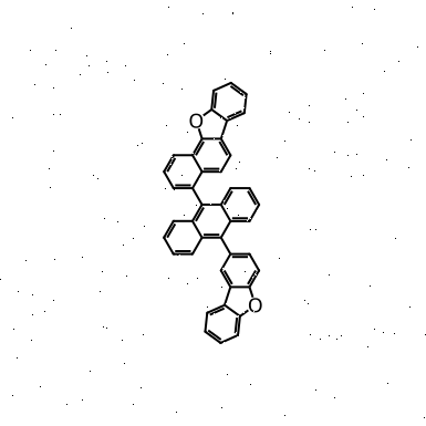 c1ccc2c(c1)oc1ccc(-c3c4ccccc4c(-c4cccc5c4ccc4c6ccccc6oc54)c4ccccc34)cc12